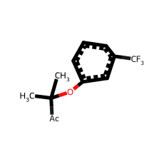 CC(=O)C(C)(C)Oc1cccc(C(F)(F)F)c1